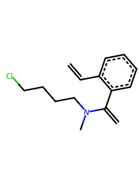 C=Cc1ccccc1C(=C)N(C)CCCCCl